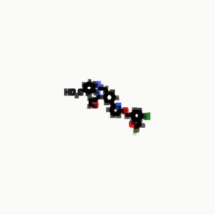 O=C(O)c1ccc2nc(CC3CCC(c4cccc(OCc5ccc(Cl)c6cc(F)oc56)n4)CC3)n(C[C@@H]3CCO3)c2c1